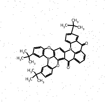 CC(C)(C)c1ccc2c(c1)B1c3cc(C(C)(C)C)ccc3Oc3c1c(cc1c3c(=O)c3cccc4c(=O)c5cc(C(C)(C)C)ccc5n1c43)O2